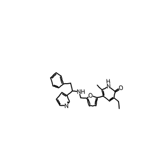 CCc1cc(-c2ccc(CNC(Cc3ccccc3)c3cccnc3)o2)c(C)[nH]c1=O